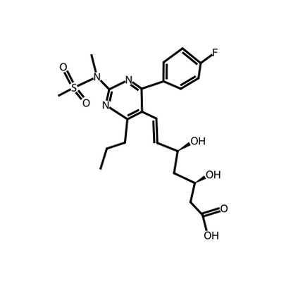 CCCc1nc(N(C)S(C)(=O)=O)nc(-c2ccc(F)cc2)c1/C=C/[C@@H](O)C[C@@H](O)CC(=O)O